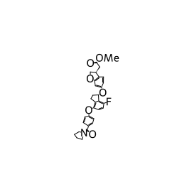 COC(=O)C[C@@H]1COc2cc(O[C@@H]3CCc4c(Oc5ccc(C(=O)N6CCCC6)cc5)ccc(F)c43)ccc21